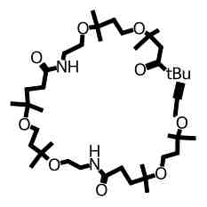 C#CCOC(C)(C)CCOC(C)(C)CCC(=O)NCCOC(C)(C)CCOC(C)(C)CCC(=O)NCCOC(C)(C)CCOC(C)(C)CC(=O)C(C)(C)C